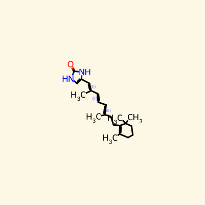 CC1=C(CC/C(C)=C/C=C/C(C)=C/c2c[nH]c(=O)[nH]2)C(C)(C)CCC1